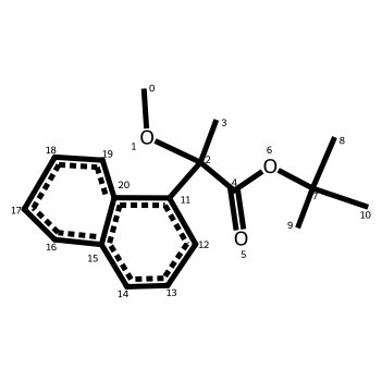 COC(C)(C(=O)OC(C)(C)C)c1cccc2ccccc12